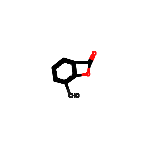 O=Cc1cccc2c1OC2=O